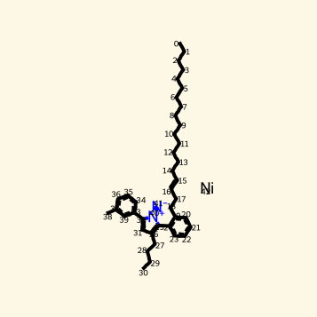 CCCCCCCCCCCCCCCC=CCCc1ccccc1C1=C(CCCC)C=C(c2cccc(C)c2)[N+]1=[N-].[Ni]